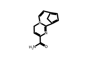 NC(=O)C1=CCN2C=CC3=CC=C(C3)C2=N1